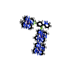 Fc1ccc(-c2ccccn2)c(F)c1.[Ir+3].c1cnn([B-](n2cccn2)(n2cccn2)n2cccn2)c1.c1cnn([B-](n2cccn2)(n2cccn2)n2cccn2)c1.c1cnn([B-](n2cccn2)(n2cccn2)n2cccn2)c1